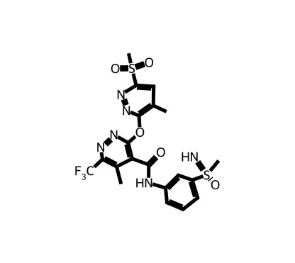 Cc1cc(S(C)(=O)=O)nnc1Oc1nnc(C(F)(F)F)c(C)c1C(=O)Nc1cccc(S(C)(=N)=O)c1